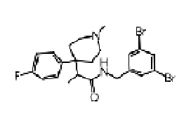 CC(C(=O)NCc1cc(Br)cc(Br)c1)C1(c2ccc(F)cc2)CCN(C)CC1